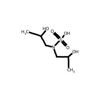 CC(O)CN(CC(C)O)S(=O)(=O)O